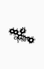 CN1C(=O)C(c2ccc3ccccc3c2)=C(c2ccncc2)N(CCCc2ccccc2)C1N